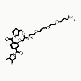 CC1CCN(C(=O)c2ccc(C(=O)N3CC(C)C(C)C3)cc2OCC(=O)NCCOCCOCCOCCCN)C1